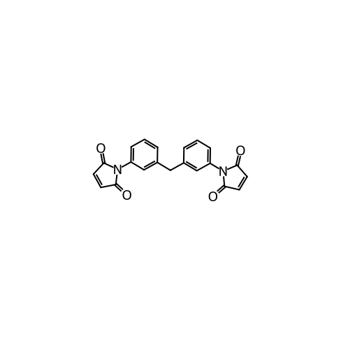 O=C1C=CC(=O)N1c1cccc(Cc2cccc(N3C(=O)C=CC3=O)c2)c1